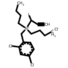 C#CC(I)[N+](CCCC)(CCCC)Cc1ccc(Cl)cc1Cl.[Cl-]